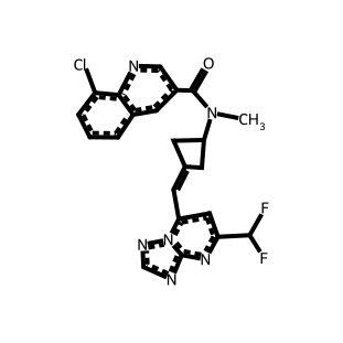 CN(C(=O)c1cnc2c(Cl)cccc2c1)C1CC(=Cc2cc(C(F)F)nc3ncnn23)C1